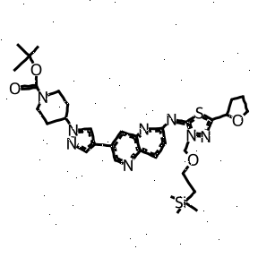 CC(C)(C)OC(=O)N1CCC(n2cc(-c3cnc4ccc(N=c5sc(C6CCCO6)nn5COCC[Si](C)(C)C)nc4c3)cn2)CC1